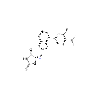 CN(C)c1ncc(-c2cncc3cc(/C=C4/SC(=S)NC4=O)oc23)cc1F